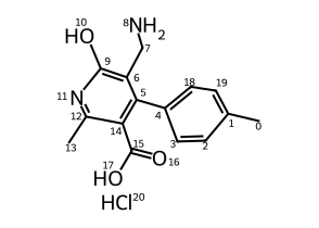 Cc1ccc(-c2c(CN)c(O)nc(C)c2C(=O)O)cc1.Cl